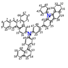 c1ccc(-c2cc3ccccc3cc2-c2ccc(N(c3ccc(-c4ccc5c6ccc7ccccc7c6n(-c6ccccc6)c5c4)cc3)c3ccc(-c4cccc5ccccc45)cc3)cc2)cc1